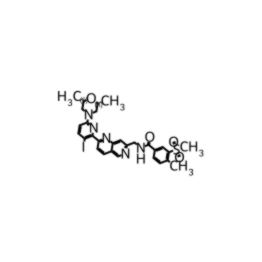 Cc1ccc(C(=O)NCc2cc3nc(-c4nc(N5C[C@@H](C)O[C@@H](C)C5)ccc4I)ccc3cn2)cc1S(C)(=O)=O